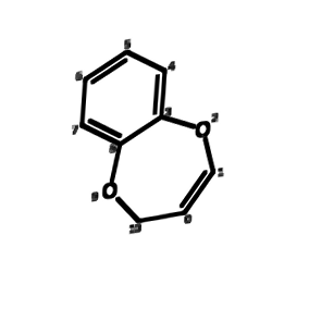 C1=COc2ccccc2OC1